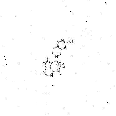 CCc1cc2c(nn1)CCN(C(=O)c1c(C)oc3ncnc(N(C)C4(C)CC4)c13)C2